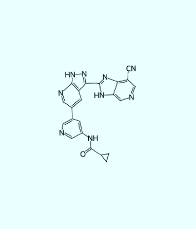 N#Cc1cncc2[nH]c(-c3n[nH]c4ncc(-c5cncc(NC(=O)C6CC6)c5)cc34)nc12